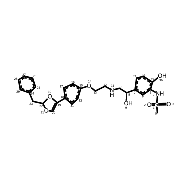 CS(=O)(=O)Nc1cc([C@@H](O)CNCCOc2ccc(C3=COC(Cc4ccccc4)O3)cc2)ccc1O